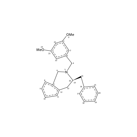 COc1cc(CN2Cc3ccccc3C[C@@H]2Cc2ccccc2)cc(OC)c1